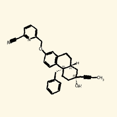 CC#C[C@@]1(O)CC[C@@]2(Cc3ccccc3)c3ccc(OCc4cccc(C#N)n4)cc3CC[C@@H]2C1